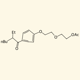 CCCCC(CC)C(=O)c1ccc(OCCOCCOC(C)=O)cc1